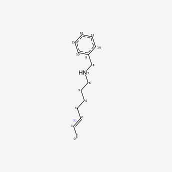 I/C=C/CCCCNCc1ccccc1